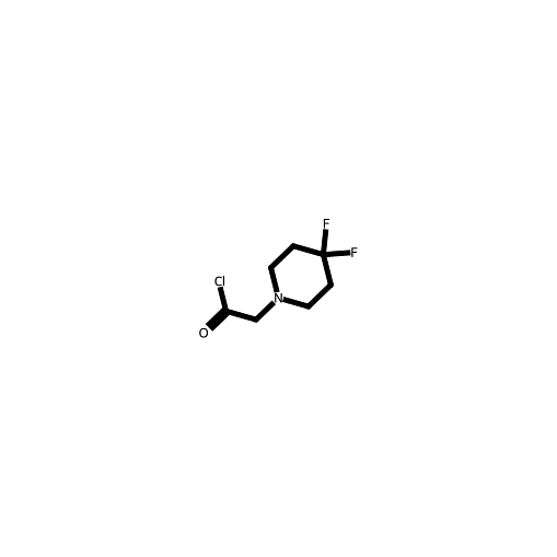 O=C(Cl)CN1CCC(F)(F)CC1